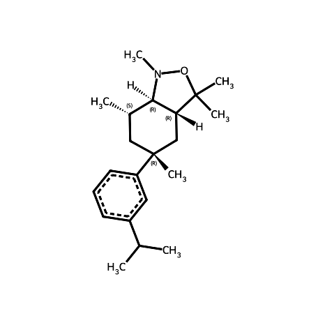 CC(C)c1cccc([C@@]2(C)C[C@@H]3[C@@H]([C@@H](C)C2)N(C)OC3(C)C)c1